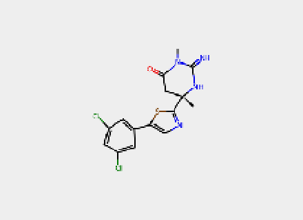 CN1C(=N)N[C@](C)(c2ncc(-c3cc(Cl)cc(Cl)c3)s2)CC1=O